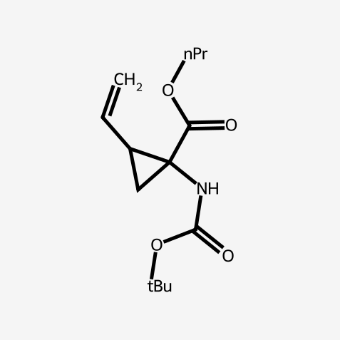 C=CC1CC1(NC(=O)OC(C)(C)C)C(=O)OCCC